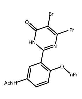 CCCOc1ccc(NC(C)=O)cc1-c1nc(C(C)C)c(Br)c(=O)[nH]1